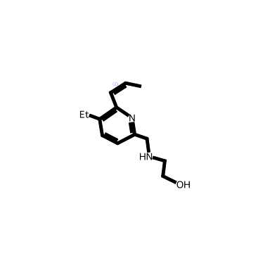 C/C=C\c1nc(CNCCO)ccc1CC